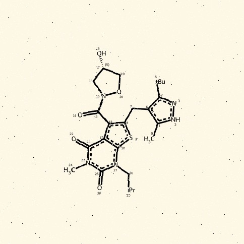 Cc1[nH]nc(C(C)(C)C)c1Cc1sc2c(c1C(=O)N1C[C@H](O)CO1)c(=O)n(C)c(=O)n2CC(C)C